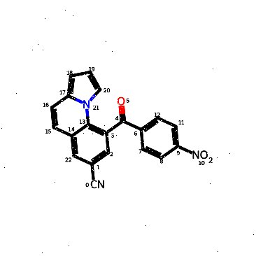 N#Cc1cc(C(=O)c2ccc([N+](=O)[O-])cc2)c2c(ccc3cccn32)c1